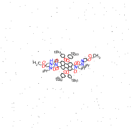 C=CC(=O)OC1=CCNC(N(CC(C)C)C(=O)C(CC(C)C)N2C(=O)c3cc(Oc4ccc(C(C)(C)C)cc4)c4c5c(Oc6ccc(C(C)(C)C)cc6)cc6c7c(cc(Oc8ccc(C(C)(C)C)cc8)c(c8c(Oc9ccc(C(C)(C)C)cc9)cc(c3c48)C2=O)c75)C(=O)N(C(CC(C)C)C(=O)N(CC(C)C)c2cc(OC(=O)C=C)ccn2)C6=O)=C1